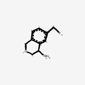 NC1COCc2ccc(CF)cc21